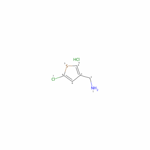 Cl.NCc1csc(Cl)c1